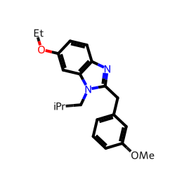 CCOc1ccc2nc(Cc3cccc(OC)c3)n(CC(C)C)c2c1